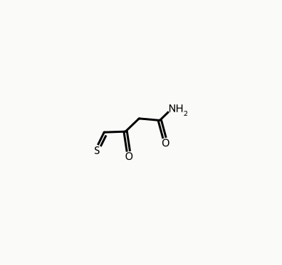 NC(=O)CC(=O)C=S